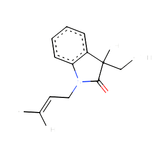 CC(C)=CCN1C(=O)C(C)(CC(=O)O)c2ccccc21